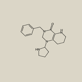 O=C1C2=C(CCCN2)N(C2CCCN2)CN1Cc1ccccc1